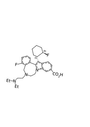 CCN(CC)CCN1CCn2c(c([C@@H]3CCCC[C@H]3F)c3ccc(C(=O)O)cc32)-c2cccc(F)c2C1